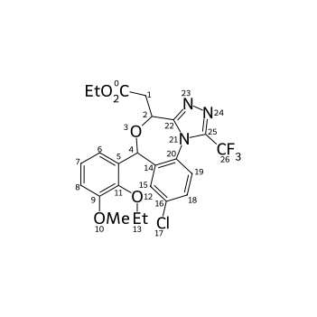 CCOC(=O)CC1OC(c2cccc(OC)c2OCC)c2cc(Cl)ccc2-n2c1nnc2C(F)(F)F